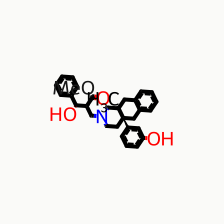 COC(=O)C(CN1CC[C@@]2(c3cccc(O)c3)Cc3ccccc3C[C@@]2(C)C1)[C@@H](O)c1ccccc1